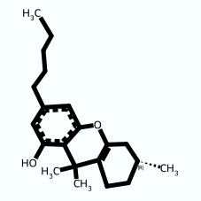 CCCCCc1cc(O)c2c(c1)OC1=C(CC[C@@H](C)C1)C2(C)C